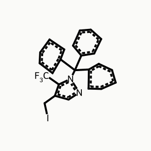 FC(F)(F)c1c(CI)cnn1C(c1ccccc1)(c1ccccc1)c1ccccc1